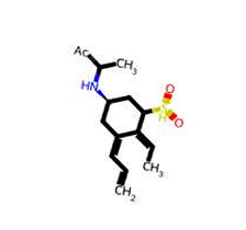 C=C/C=C1/C[C@@H](NC(C)C(C)=O)CC([SH](=O)=O)/C1=C/C